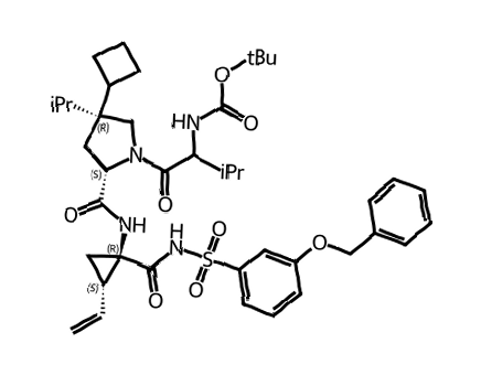 C=C[C@@H]1C[C@]1(NC(=O)[C@@H]1C[C@@](C(C)C)(C2CCC2)CN1C(=O)C(NC(=O)OC(C)(C)C)C(C)C)C(=O)NS(=O)(=O)c1cccc(OCc2ccccc2)c1